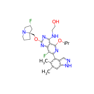 Cc1cc2[nH]ncc2c(-c2nc(OC(C)C)c3c(NCCO)nc(OC[C@@]45CCCN4C[C@H](F)C5)nc3c2F)c1C